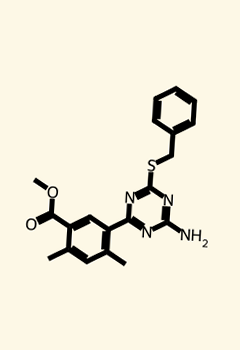 COC(=O)c1cc(-c2nc(N)nc(SCc3ccccc3)n2)c(C)cc1C